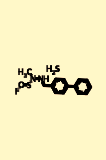 CN(NCc1ccc(-c2ccccc2)cc1)SOF.S